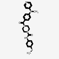 CSc1ccc(NC(=O)N2CCN(C(=O)c3ccc(N(C)c4ccncc4)cc3)CC2)cc1